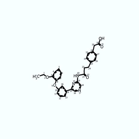 CCOc1ccccc1Oc1cccc(-c2cncc(NC(=O)CCc3ccc(CC(=O)O)cc3)n2)c1